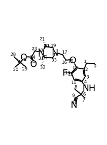 CCc1cc(NC(C)(C)C#N)cc(F)c1OCCN1C[C@@H](C)N(CC(=O)OC(C)(C)C)[C@@H](C)C1